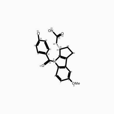 COc1ccc2c(c1)c1c(n2C(=O)c2ccc(Cl)cc2)[C@H](CC(=O)N=O)CC1